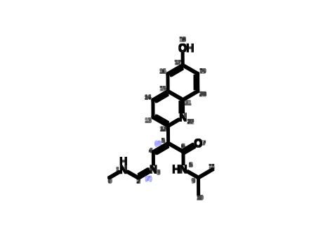 CN/C=N\C=C(/C(=O)NC(C)C)c1ccc2cc(O)ccc2n1